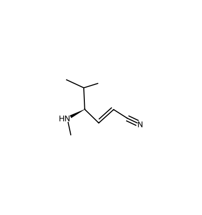 CN[C@H](C=CC#N)C(C)C